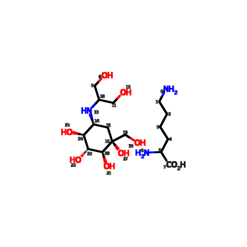 NCCCCC(N)C(=O)O.OCC(CO)N[C@H]1C[C@](O)(CO)[C@@H](O)[C@H](O)[C@H]1O